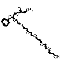 C=CC(=O)OCC(OCCOCCOCCOCCOCCOCCO)Oc1ccccc1